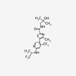 Cc1nc(C(=O)NCC(C)(C)O)sc1-c1cnc(NC(C)C(F)(F)F)cc1C(F)(F)F